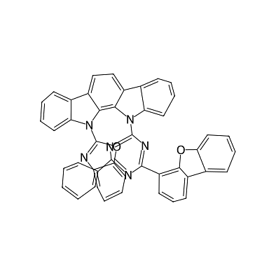 c1ccc(-c2nc(-c3cccc4c3oc3ccccc34)nc(-n3c4ccccc4c4ccc5c6ccccc6n(-c6nc7ccccc7o6)c5c43)n2)cc1